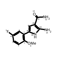 COc1ccc(F)cc1-c1cc(C(N)=O)c(N)[nH]1